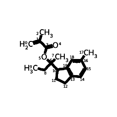 C=C(C)C(=O)OC(C)(CC)C1CCc2ccc(C)cc21